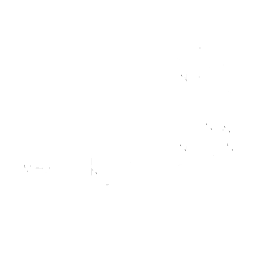 COCCNC(=O)c1ccc(-c2ccc3nnn(Cc4cccc5cccnc45)c3n2)cc1F